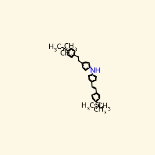 CC(C)(C)c1ccc(/C=C/c2ccc(Nc3ccc(/C=C/c4ccc([Si](C)(C)C)cc4)cc3)cc2)cc1